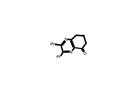 CC(C)c1nc2c(nc1C(C)C)C(=O)CCC2